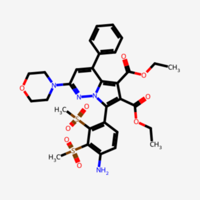 CCOC(=O)c1c(C(=O)OCC)c2c(-c3ccccc3)cc(N3CCOCC3)nn2c1-c1ccc(N)c(S(C)(=O)=O)c1S(C)(=O)=O